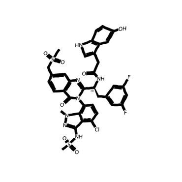 Cn1nc(NS(C)(=O)=O)c2c(Cl)ccc(-n3c([C@H](Cc4cc(F)cc(F)c4)NC(=O)Cc4c[nH]c5ccc(O)cc45)nc4cc(CS(C)(=O)=O)ccc4c3=O)c21